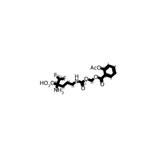 CC(=O)Oc1ccccc1C(=O)OCOC(=O)NCCCC(N)(C(=O)O)C(F)F